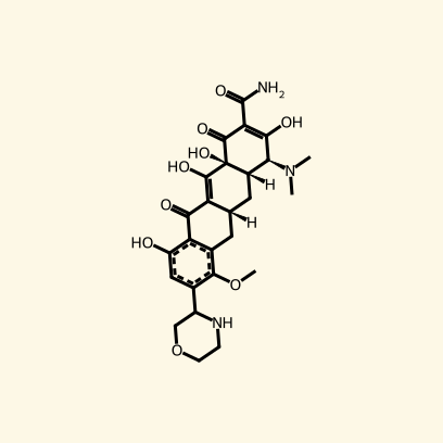 COc1c(C2COCCN2)cc(O)c2c1C[C@H]1C[C@H]3[C@H](N(C)C)C(O)=C(C(N)=O)C(=O)[C@@]3(O)C(O)=C1C2=O